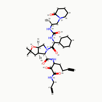 C#CCCC(NC(=O)[C@@H]1[C@H]2CC(C)(C)O[C@H]2CN1C(=O)[C@@H](NC(=O)N[C@H](CN1CCCCC1=O)C(C)(C)C)C1CCCCC1)C(=O)C(=O)NCC=C